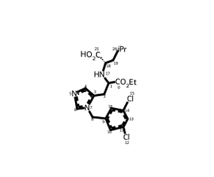 CCOC(=O)C(Cc1cncn1Cc1cc(Cl)cc(Cl)c1)N[C@@H](CC(C)C)C(=O)O